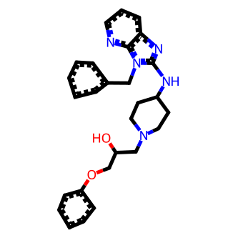 OC(COc1ccccc1)CN1CCC(Nc2nc3cccnc3n2Cc2ccccc2)CC1